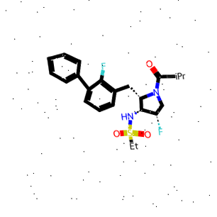 CCS(=O)(=O)N[C@H]1[C@@H](F)CN(C(=O)C(C)C)[C@H]1Cc1cccc(-c2ccccc2)c1F